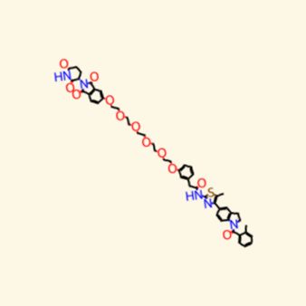 Cc1ccccc1C(=O)N1CCc2cc(-c3nc(NC(=O)Cc4cccc(OCCOCCOCCOCCOCCOc5ccc6c(c5)C(=O)N(C5CCC(=O)NC5=O)C6=O)c4)sc3C)ccc21